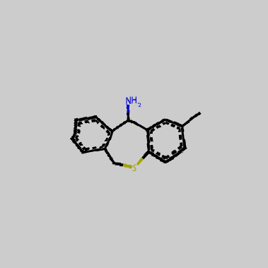 Cc1ccc2c(c1)C(N)c1ccccc1CS2